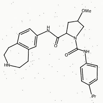 COC1CC(C(=O)Nc2ccc3c(c2)CCNCC3)N(C(=O)Nc2ccc(C(C)C)cc2)C1